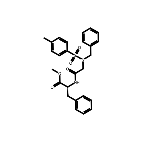 COC(=O)[C@H](Cc1ccccc1)NC(=O)CN(Cc1ccccc1)S(=O)(=O)c1ccc(C)cc1